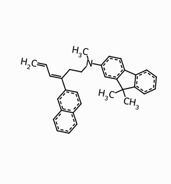 C=C/C=C(\CCN(C)c1ccc2c(c1)C(C)(C)c1ccccc1-2)c1ccc2ccccc2c1